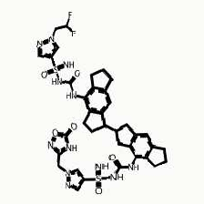 N=S(=O)(NC(=O)Nc1c2c(cc3c1CC(C1CCc4c1cc1c(c4NC(=O)NS(=N)(=O)c4cnn(CC(F)F)c4)CCC1)C3)CCC2)c1cnn(Cc2noc(=O)[nH]2)c1